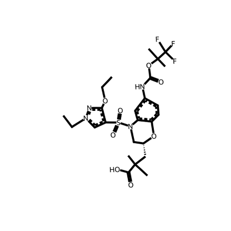 CCOc1nn(CC)cc1S(=O)(=O)N1C[C@@H](CC(C)(C)C(=O)O)Oc2ccc(NC(=O)OC(C)(C)C(F)(F)F)cc21